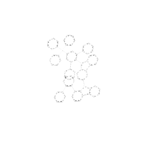 c1ccc(-c2ccccc2-c2cccc3c4ccccc4n(-c4ccc5c(c4)c4ccccc4n5-c4c(-c5ccccc5)cc([Si](c5ccccc5)(c5ccccc5)c5ccccc5)cc4-c4ccccc4)c23)cc1